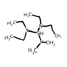 CCN(CC)[SiH](N(C)C)N(CC)CC